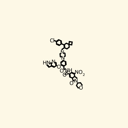 O=C(N[S+]([O-])C1=CC2C(=O)N(C3CCOCC3)CC2C([N+](=O)[O-])=C1)c1ccc(N2CCN(CC3=C(c4ccc(Cl)cc4)CC4(CCC4)CC3)CC2)cc1Oc1cnc2[nH]ccc2c1